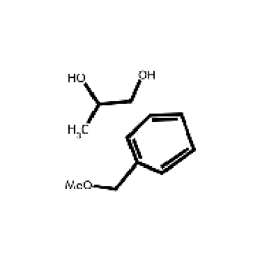 CC(O)CO.COCc1ccccc1